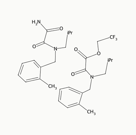 Cc1ccccc1CN(CC(C)C)C(=O)C(=O)OCC(F)(F)F.Cc1ccccc1CN(CC(C)C)C(=O)C(N)=O